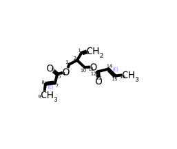 C=CC(COC(=O)/C=C/C)COC(=O)/C=C/C